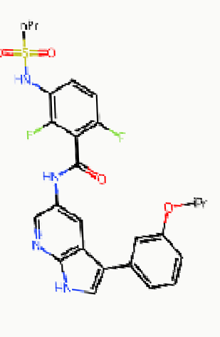 CCCS(=O)(=O)Nc1ccc(F)c(C(=O)Nc2cnc3[nH]cc(-c4cccc(OC(C)C)c4)c3c2)c1F